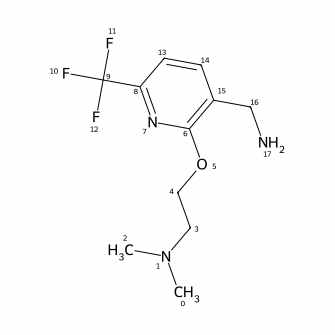 CN(C)CCOc1nc(C(F)(F)F)ccc1CN